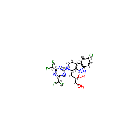 OC[C@H](O)C[C@@H]1c2[nH]c3ccc(Cl)cc3c2CCN1c1nc(C(F)F)nc(C(F)F)n1